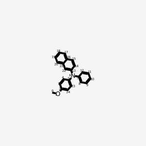 COc1ccc(N(c2ccccc2)c2ccc3ccccc3c2)cc1